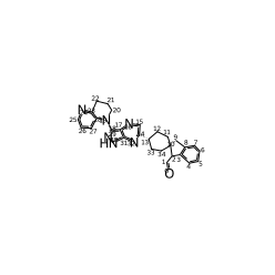 O=CC1c2ccccc2C[C@]12CC[C@@H](c1cnc3c(N4CCCc5ncccc54)n[nH]c3n1)CC2